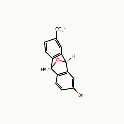 O=C(O)c1ccc2c(c1)[C@@H]1O[C@H]2c2ccc(Br)cc21